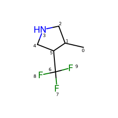 CC1CNCC1C(F)(F)F